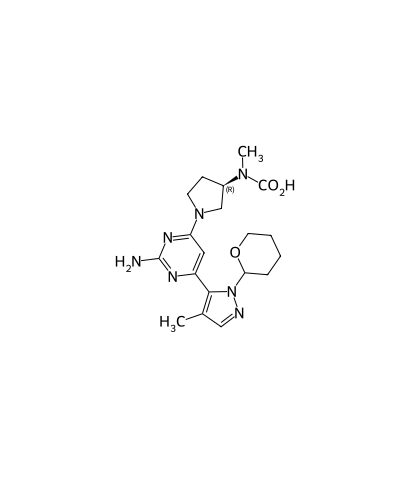 Cc1cnn(C2CCCCO2)c1-c1cc(N2CC[C@@H](N(C)C(=O)O)C2)nc(N)n1